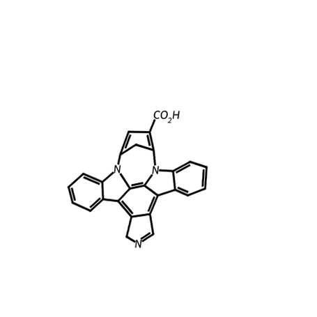 O=C(O)C1=C2CC(=C1)n1c3ccccc3c3c4c(c5c6ccccc6n2c5c31)C=NC4